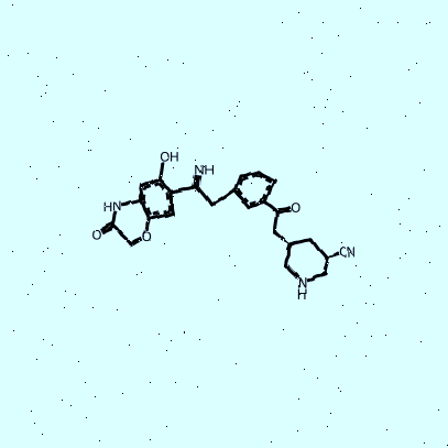 N#C[C@H]1CNC[C@@H](CC(=O)c2cccc(CC(=N)c3cc4c(cc3O)NC(=O)CO4)c2)C1